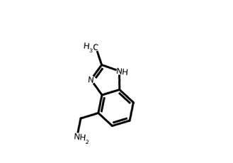 Cc1nc2c(CN)cccc2[nH]1